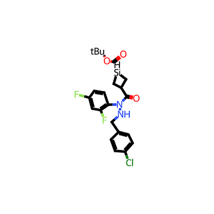 CC(C)(C)OC(=O)[SiH]1CC(C(=O)N(NCc2ccc(Cl)cc2)c2ccc(F)cc2F)C1